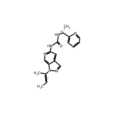 C/C=C(\C)n1ncc2cc(NC(=O)N[C@H](C)c3ccccn3)ncc21